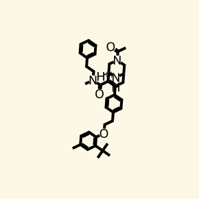 CC(=O)N1CC2CC(c3ccc(CCOc4ccc(C)cc4C(C)(C)C)cc3)=C(C(=O)N(C)CCc3ccccc3)[C@@H](C1)N2